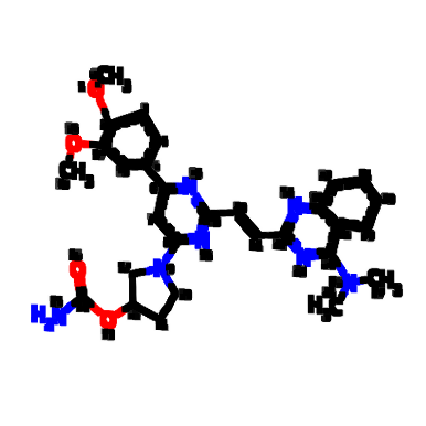 COc1ccc(-c2cc(N3CCC(OC(N)=O)C3)nc(C=Cc3nc(N(C)C)c4ccccc4n3)n2)cc1OC